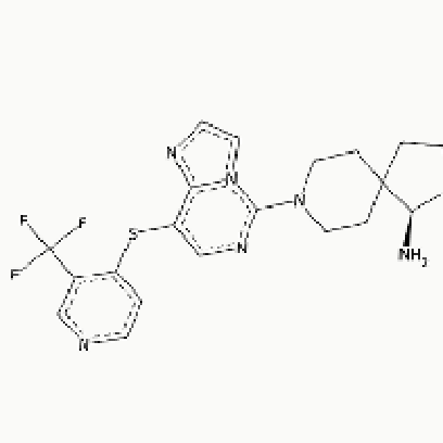 N[C@@H]1CCCC12CCN(c1ncc(Sc3ccncc3C(F)(F)F)c3nccn13)CC2